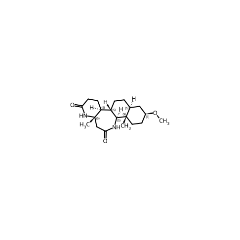 CO[C@H]1CC[C@@]2(C)[C@@H](CC[C@@H]3[C@@H]2NC(=O)C[C@]2(C)NC(=O)CC[C@@H]32)C1